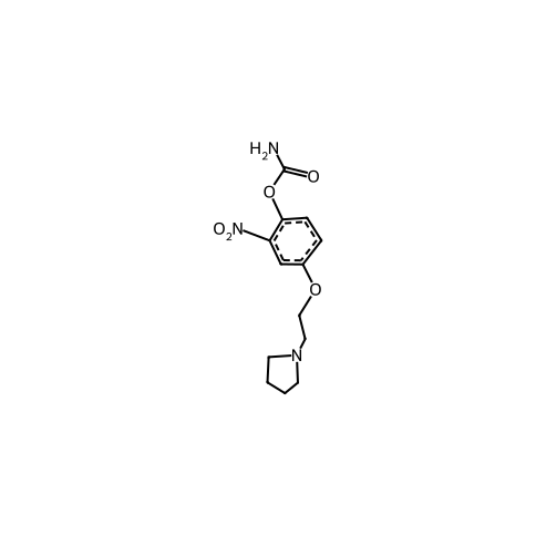 NC(=O)Oc1ccc(OCCN2CCCC2)cc1[N+](=O)[O-]